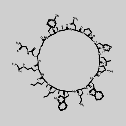 CCCC[C@H]1C(=O)N(C)[C@@H](CCCC)C(=O)N[C@@H](CCCNC(=N)N)C(=O)N[C@H](CC(=O)NCC(N)=O)CSCC(=O)N[C@@H](Cc2ccc(O)cc2)C(=O)N(C)[C@@H](C)C(=O)N[C@@H](CC(N)=O)C(=O)N2CCC[C@H]2C(=O)N[C@@H](Cc2cnc[nH]2)C(=O)N[C@@H](CC(C)C)C(=O)N2C[C@H](O)C[C@H]2C(=O)N[C@@H](Cc2c[nH]c3ccccc23)C(=O)N[C@@H](CCCN)C(=O)N[C@@H](Cc2c[nH]c3ccccc23)C(=O)N1C